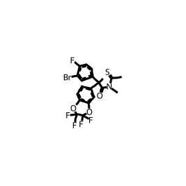 CC(=S)N(C)C(=O)C(C)(c1ccc(F)c(Br)c1)c1ccc2c(c1)OC(F)(F)C(F)(F)O2